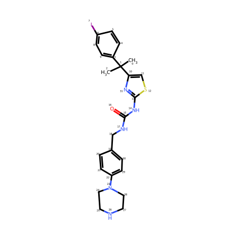 CC(C)(c1ccc(I)cc1)c1csc(NC(=O)NCc2ccc(N3CCNCC3)cc2)n1